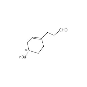 CCCC[C@@H]1CC=C(CCC=O)CC1